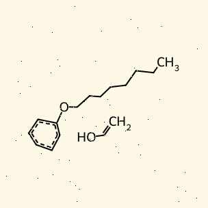 C=CO.CCCCCCCCOc1ccccc1